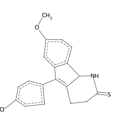 COc1ccc2c(c1)C(c1ccc(Cl)cc1)=C1CCC(=S)NC12